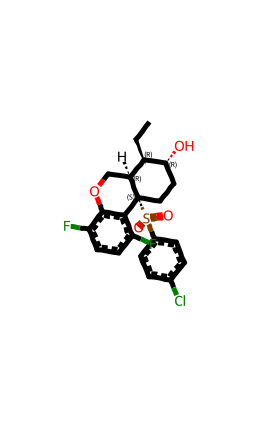 CC[C@H]1[C@H](O)CC[C@@]2(S(=O)(=O)c3ccc(Cl)cc3)c3c(F)ccc(F)c3OC[C@@H]12